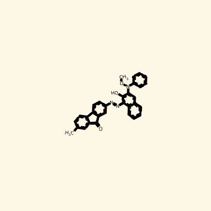 CON(c1ccccc1)c1cc2ccccc2c(N=Nc2ccc3c(c2)C(=O)c2cc(C)ccc2-3)c1O